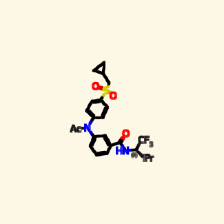 CC(=O)N(c1ccc(S(=O)(=O)CC2CC2)cc1)c1cccc(C(=O)N[C@H](C(C)C)C(F)(F)F)c1